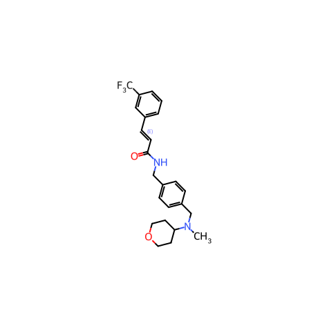 CN(Cc1ccc(CNC(=O)/C=C/c2cccc(C(F)(F)F)c2)cc1)C1CCOCC1